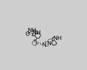 NC(=O)c1cc2c([C@@H]3CCCC[C@H]3CCN3CCN4c5cccc6[nH]cc(c56)CC4C3)cccc2[nH]1